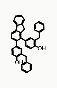 Oc1ccc(-c2ccc3c(c2-c2ccc(O)c(Cc4ccccc4)c2)Cc2ccccc2-3)cc1Cc1ccccc1